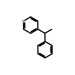 CC(c1ccccc1)c1ccncc1